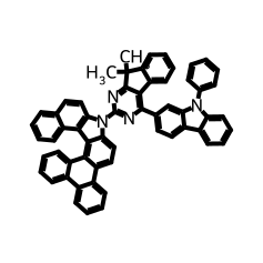 CC1(C)c2ccccc2-c2c(-c3ccc4c5ccccc5n(-c5ccccc5)c4c3)nc(-n3c4ccc5ccccc5c4c4c5c6ccccc6c6ccccc6c5ccc43)nc21